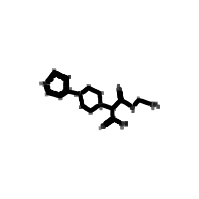 CCOC(=O)C(C(=O)O)N1CCN(c2ccncc2)CC1